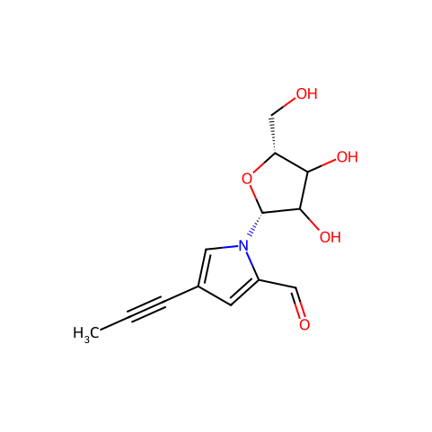 CC#Cc1cc(C=O)n([C@@H]2O[C@H](CO)C(O)C2O)c1